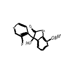 COc1cccc2c1NC(=O)C2(O)c1ccncc1F